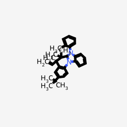 C=CC1(C)c2cc(C(C)(C)C)ccc2N2c3ccccc3N(c3ccccc3C)C2C1(C)C